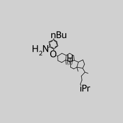 CCCCc1ccc(OC2CCC3(C)C(CCC4C5CCC(C(C)CCCC(C)C)C5(C)CC[C@@H]43)C2)c(N)c1